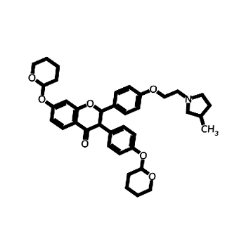 CC1CCN(CCOc2ccc(C3Oc4cc(OC5CCCCO5)ccc4C(=O)C3c3ccc(OC4CCCCO4)cc3)cc2)C1